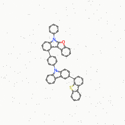 c1ccc(-n2c3cccc(-c4ccc(-n5c6ccccc6c6cc(-c7cccc8c7sc7ccccc78)ccc65)cc4)c3c3c4ccccc4oc32)cc1